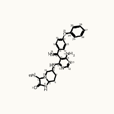 CCCC1C(=O)NC2CCC(Nc3ncnc(N)c3C(=N)c3ccc(Oc4ccccc4)cc3)CN21